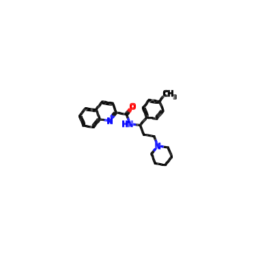 Cc1ccc(C(CCN2CCCCC2)NC(=O)c2ccc3ccccc3n2)cc1